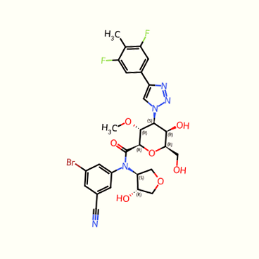 CO[C@@H]1[C@@H](n2cc(-c3cc(F)c(C)c(F)c3)nn2)[C@@H](O)[C@@H](CO)O[C@H]1C(=O)N(c1cc(Br)cc(C#N)c1)[C@H]1COC[C@@H]1O